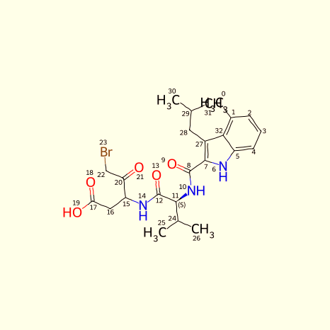 Cc1cccc2[nH]c(C(=O)N[C@H](C(=O)NC(CC(=O)O)C(=O)CBr)C(C)C)c(CC(C)C)c12